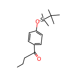 CCCC(=O)c1ccc(O[Si](C)(C)C(C)(C)C)cc1